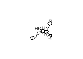 Cc1ccc(-c2cc(NCC3CCN(C)CC3)c3cc(O)c(OCCCN4CCCC4)cc3n2)o1